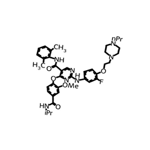 CCCN1CCN(CCOc2ccc(Nc3ncc(C(=O)Nc4c(C)cccc4C)c(Oc4ccc(C(=O)NC(C)C)cc4OC)n3)cc2F)CC1